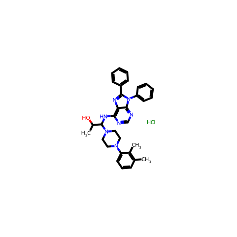 Cc1cccc(N2CCN(C(Nc3ncnc4c3nc(-c3ccccc3)n4-c3ccccc3)C(C)O)CC2)c1C.Cl